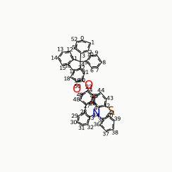 c1ccc(C2(c3ccccc3)c3ccccc3-c3cc4c(cc32)Oc2ccc(-c3ccccc3N3c5ccccc5Sc5ccccc53)cc2O4)cc1